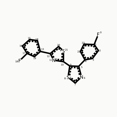 Fc1ccc(-c2n[c]sc2-c2nc(-c3cccc(F)c3)cs2)cc1